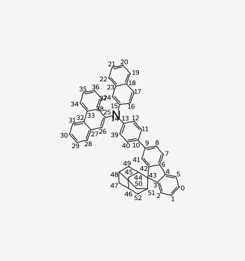 c1ccc2c(c1)-c1ccc(-c3ccc(N(c4ccc5ccccc5c4)c4cc5ccccc5c5ccccc45)cc3)cc1C21C2CC3CC(C2)CC1C3